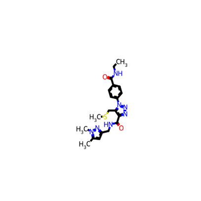 CCNC(=O)c1ccc(-n2nnc(C(=O)NCc3cc(C)n(C)n3)c2CSC)cc1